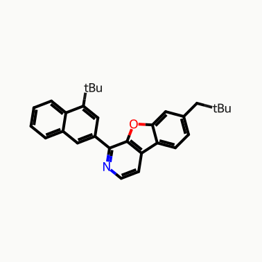 CC(C)(C)Cc1ccc2c(c1)oc1c(-c3cc(C(C)(C)C)c4ccccc4c3)nccc12